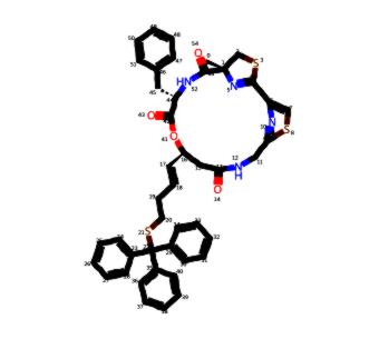 C[C@@]12CSC(=N1)c1csc(n1)CNC(=O)C[C@@H](/C=C/CCSC(c1ccccc1)(c1ccccc1)c1ccccc1)OC(=O)[C@H](Cc1ccccc1)NC2=O